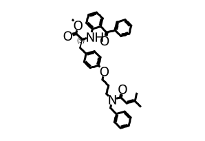 COC(=O)[C@H](Cc1ccc(OCCCN(Cc2ccccc2)C(=O)C=C(C)C)cc1)Nc1ccccc1C(=O)c1ccccc1